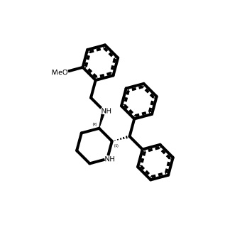 COc1ccccc1CN[C@@H]1CCCN[C@H]1C(c1ccccc1)c1ccccc1